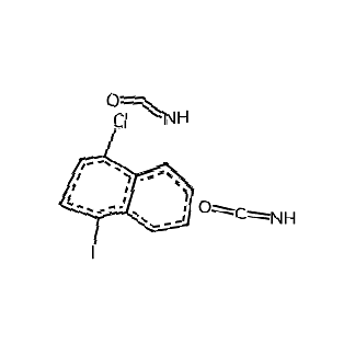 Clc1ccc(I)c2ccccc12.N=C=O.N=C=O